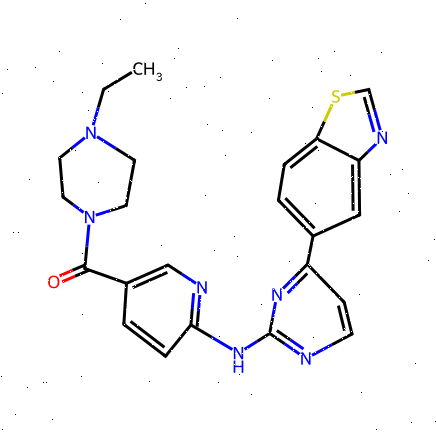 CCN1CCN(C(=O)c2ccc(Nc3nccc(-c4ccc5scnc5c4)n3)nc2)CC1